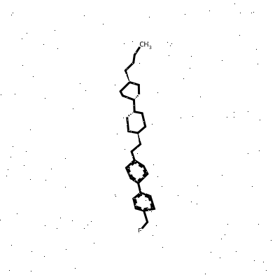 CCCC[C@H]1CC[C@H]([C@H]2CC[C@H](CCc3ccc(-c4ccc(CF)cc4)cc3)CC2)CC1